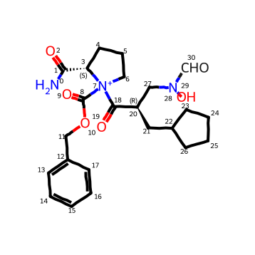 NC(=O)[C@@H]1CCC[N+]1(C(=O)OCc1ccccc1)C(=O)[C@H](CC1CCCC1)CN(O)C=O